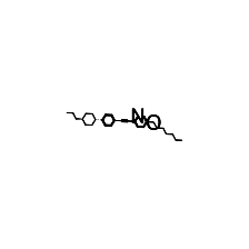 CCCCCCOc1ccc(C#Cc2ccc([C@H]3CC[C@H](CCC)CC3)cc2)nc1